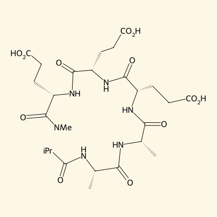 CNC(=O)[C@H](CCC(=O)O)NC(=O)[C@H](CCC(=O)O)NC(=O)[C@H](CCC(=O)O)NC(=O)[C@H](C)NC(=O)[C@H](C)NC(=O)C(C)C